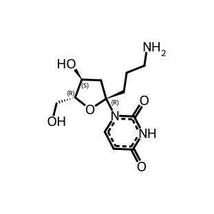 NCCC[C@]1(n2ccc(=O)[nH]c2=O)C[C@H](O)[C@@H](CO)O1